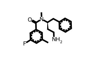 Cc1cc(F)cc(C(=O)N(C)[C@H](CCN)Cc2ccccc2)c1